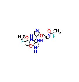 C=C(F)C(=O)N1CC[C@H]1COc1cnccc1-c1[nH]c2c(c1Nc1cccc(F)c1OC)C(=O)NCC2